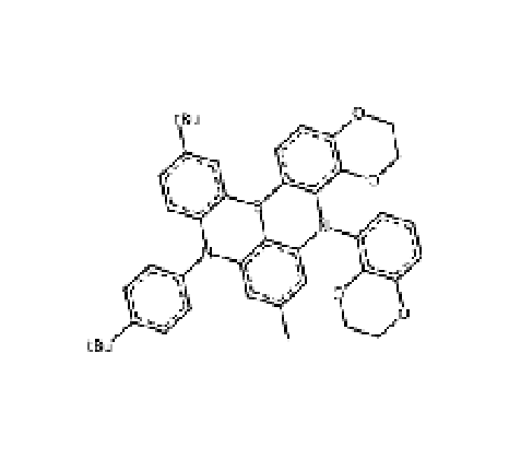 Cc1cc2c3c(c1)N(c1cccc4c1OCCO4)c1c(ccc4c1OCCO4)B3c1cc(C(C)(C)C)ccc1N2c1ccc(C(C)(C)C)cc1